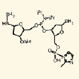 BBC1CC(OC)C(COP(OC2CC(B)OC2COP(=O)(O)n2ccnc2C)N(C(C)C)C(C)C)O1